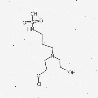 CS(=O)(=O)NCCCN(CCO)CCOCl